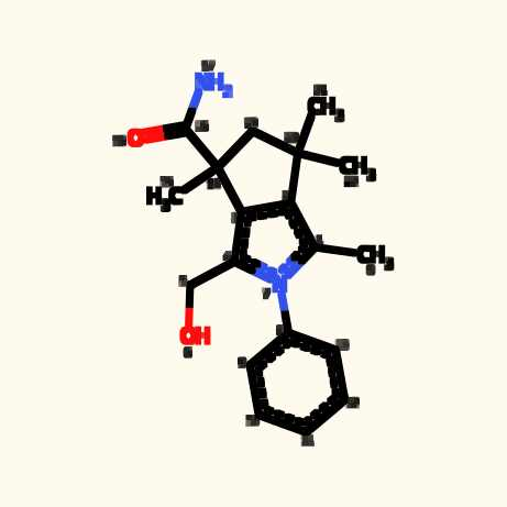 Cc1c2c(c(CO)n1-c1ccccc1)C(C)(C(N)=O)CC2(C)C